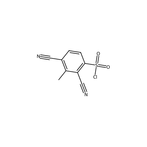 Cc1c(C#N)ccc(S(=O)(=O)Cl)c1C#N